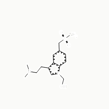 CN(C)CCc1cn(CO)c2ccc(CS(N)(=O)=O)cc12